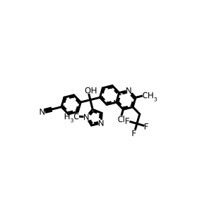 Cc1nc2ccc(C(O)(c3ccc(C#N)cc3)c3cncn3C)cc2c(Cl)c1CC(F)(F)F